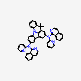 CC1(C)c2ccccc2-n2c3ccc(N(c4ccccn4)c4nccc5ccccc45)cc3c3cc(N(c4ccccn4)c4nccc5ccccc45)cc1c32